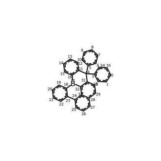 c1ccc(C2(c3ccccc3)c3ccccc3B3c4ccccc4-c4cccc5ccc2c3c45)cc1